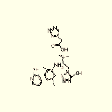 CN(C)CCn1nnnc1S.Cc1ccc(C)c(N)c1.O=C(O)Cn1cnnn1.Sc1ncccn1